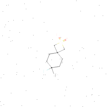 CC(C)C1(F)CCC2(CC1)CS(=O)(=O)C2